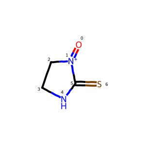 O=[N+]1CCNC1=S